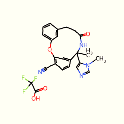 Cn1cncc1C1(C)NC(=O)CCc2cccc(c2)Oc2cc1ccc2C#N.O=C(O)C(F)(F)F